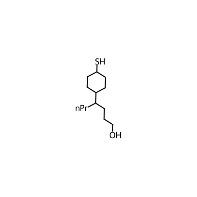 CCCC(CCCO)C1CCC(S)CC1